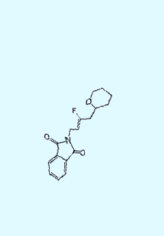 O=C1c2ccccc2C(=O)N1CC=C(F)CC1CCCCO1